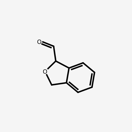 O=CC1OCc2ccccc21